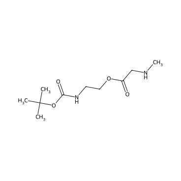 CNCC(=O)OCCNC(=O)OC(C)(C)C